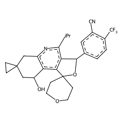 CC(C)c1nc2c(c3c1C(c1ccc(C(F)(F)F)c(C#N)c1)OC31CCOCC1)C(O)CC1(CC1)C2